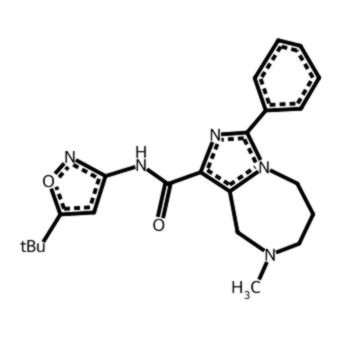 CN1CCCn2c(-c3ccccc3)nc(C(=O)Nc3cc(C(C)(C)C)on3)c2C1